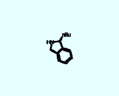 [CH2]CCCC1NCc2ccccc21